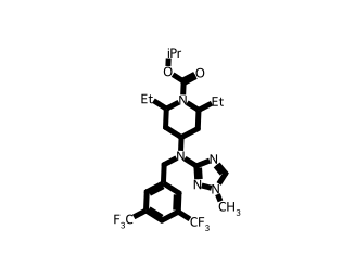 CCC1CC(N(Cc2cc(C(F)(F)F)cc(C(F)(F)F)c2)c2ncn(C)n2)CC(CC)N1C(=O)OC(C)C